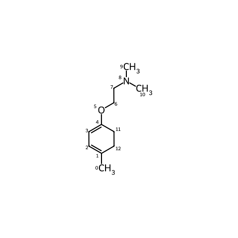 CC1=CC=C(OCCN(C)C)CC1